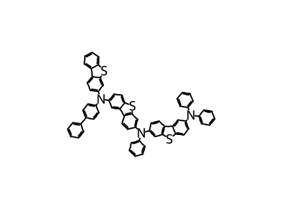 c1ccc(-c2ccc(N(c3ccc4c(c3)sc3ccccc34)c3ccc4sc5cc(N(c6ccccc6)c6ccc7c(c6)sc6ccc(N(c8ccccc8)c8ccccc8)cc67)ccc5c4c3)cc2)cc1